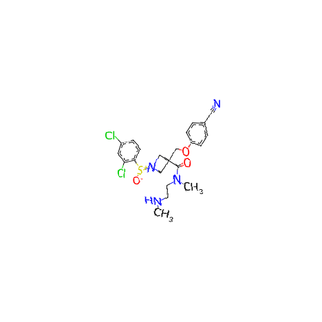 CNCCN(C)C(=O)C1(COc2ccc(C#N)cc2)CN([S+]([O-])c2ccc(Cl)cc2Cl)C1